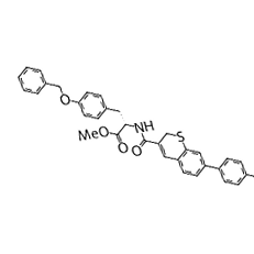 COC(=O)[C@H](Cc1ccc(OCc2ccccc2)cc1)NC(=O)C1=Cc2ccc(-c3ccc(Cl)cc3)cc2SC1